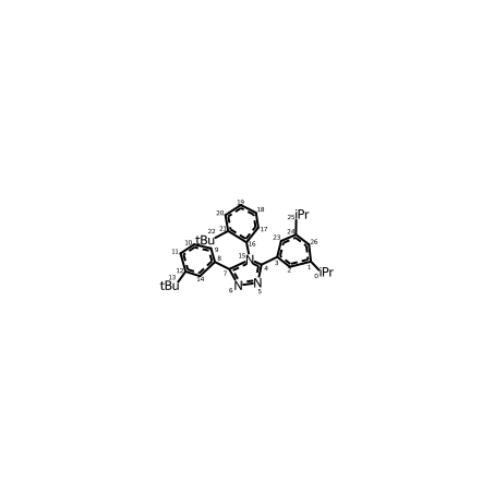 CC(C)c1cc(-c2nnc(-c3cccc(C(C)(C)C)c3)n2-c2ccccc2C(C)(C)C)cc(C(C)C)c1